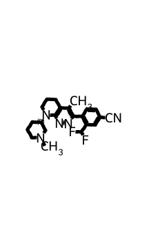 Cc1c(-c2ccc(C#N)cc2C(F)F)nnc2c1CCCN2[C@@H]1CCCN(C)C1